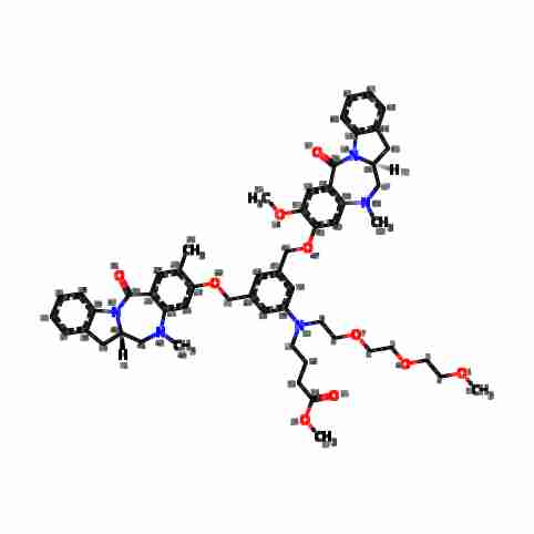 COCCOCCOCCN(CCCC(=O)OC)c1cc(COc2cc3c(cc2C)C(=O)N2c4ccccc4C[C@H]2CN3C)cc(COc2cc3c(cc2OC)C(=O)N2c4ccccc4C[C@H]2CN3C)c1